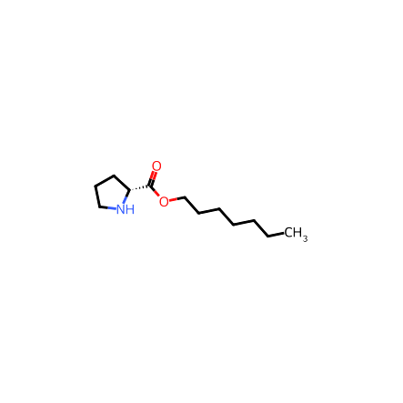 CCCCCCCOC(=O)[C@H]1CCCN1